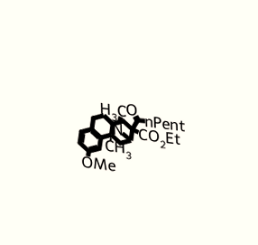 CCCCCC(=O)C1(C(=O)OCC)CC2C3Cc4ccc(OC)cc4[C@]2(C)CC1N3C